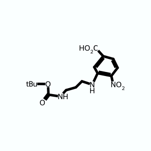 CC(C)(C)OC(=O)NCCCNc1cc(C(=O)O)ccc1[N+](=O)[O-]